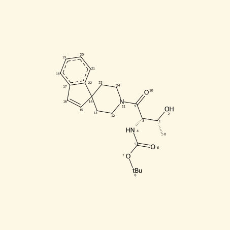 C[C@@H](O)[C@H](NC(=O)OC(C)(C)C)C(=O)N1CCC2(C=Cc3ccccc32)CC1